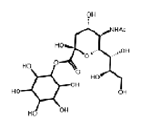 CC(=O)N[C@H]1[C@H]([C@H](O)[C@H](O)CO)O[C@](O)(C(=O)OC2C(O)C(O)C(O)C(O)C2O)C[C@@H]1O